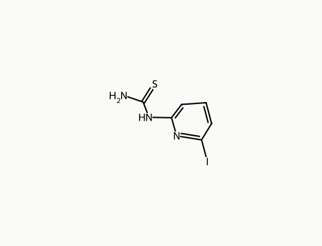 NC(=S)Nc1cccc(I)n1